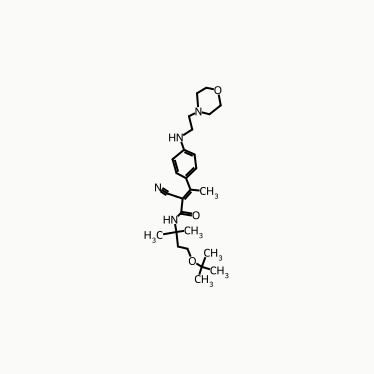 C/C(=C(/C#N)C(=O)NC(C)(C)CCOC(C)(C)C)c1ccc(NCCN2CCOCC2)cc1